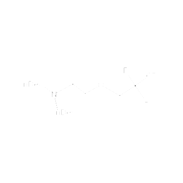 CCCCCCCCCCN(CCCCCCCCCC)CCOCC(F)(F)C(F)(F)F